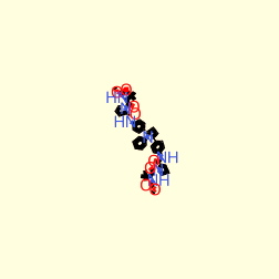 COC(=O)N[C@H](C(=O)N1CCC[C@H]1C(=O)Nc1ccc([C@@H]2CC[C@@H](c3ccc(NC(=O)[C@@H]4CCCN4C(=O)[C@@H](NC(=O)OC)C(C)(C)C)cc3)N2c2ccccc2)cc1)C(C)(C)C